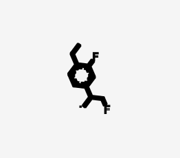 [CH2]C(CF)c1ccc(CC)c(F)c1